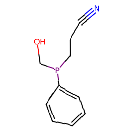 N#CCCP(CO)c1ccccc1